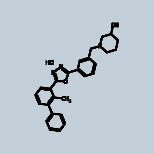 Cc1c(-c2ccccc2)cccc1-c1nnc(-c2cccc(CN3CCCC(O)C3)c2)o1.Cl